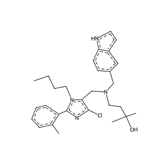 CCCCn1c(-c2ccccc2C)nc(Cl)c1CN(CCC(C)(C)O)Cc1ccc2[nH]ccc2c1